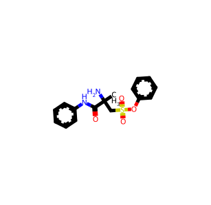 CC(N)(CS(=O)(=O)Oc1ccccc1)C(=O)Nc1ccccc1